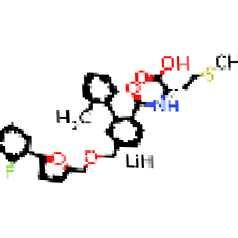 CSCC[C@H](NC(=O)c1ccc(COCc2ccc(-c3ccccc3F)o2)cc1-c1ccccc1C)C(=O)O.[LiH]